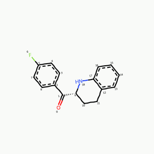 O=C(c1ccc(F)cc1)[C@H]1CCc2ccccc2N1